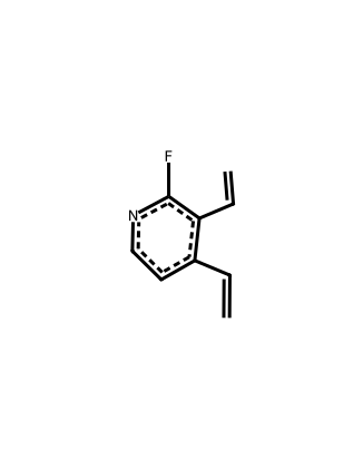 C=Cc1ccnc(F)c1C=C